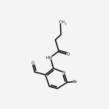 CCCC(=O)Nc1nc(Br)ccc1C=O